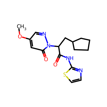 COc1cnn(C(CC2CCCC2)C(=O)Nc2nccs2)c(=O)c1